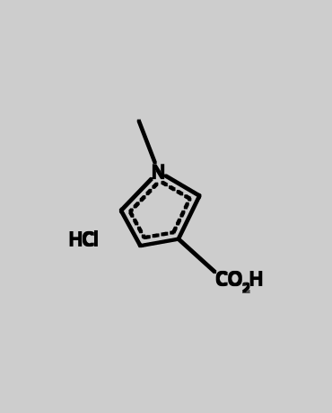 Cl.Cn1ccc(C(=O)O)c1